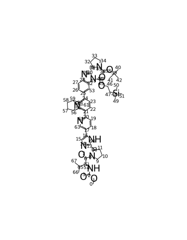 COC(=O)N[C@H](C(=O)N1CCC[C@H]1c1ncc(-c2ccc(-c3ccc(-c4ccc5nc([C@@H]6CCCN6C(=O)OC(C)(C)C)n(COCC[Si](C)(C)C)c5c4)c4c3C3CCC4N3C)nc2)[nH]1)C(C)C